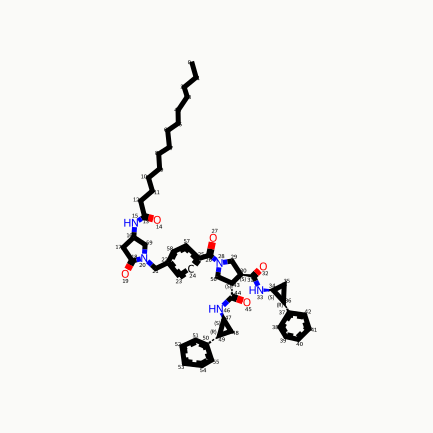 CCCCCCCCCCCCCC(=O)NC1CC(=O)N(Cc2ccc(C(=O)N3C[C@@H](C(=O)N[C@H]4C[C@@H]4c4ccccc4)[C@H](C(=O)N[C@H]4C[C@@H]4c4ccccc4)C3)cc2)C1